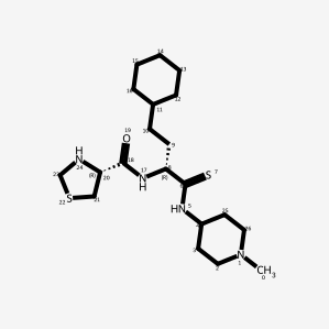 CN1CCC(NC(=S)[C@@H](CCC2CCCCC2)NC(=O)[C@@H]2CSCN2)CC1